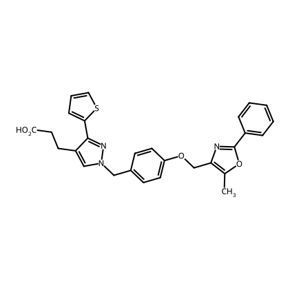 Cc1oc(-c2ccccc2)nc1COc1ccc(Cn2cc(CCC(=O)O)c(-c3cccs3)n2)cc1